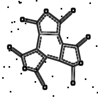 O=c1oc(=O)c2c1c1c(=O)oc(=O)c1c1c(=O)oc(=O)c21